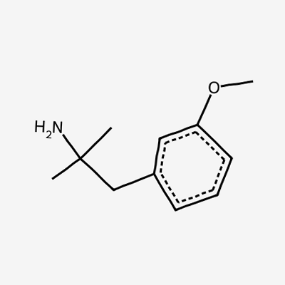 COc1cccc(CC(C)(C)N)c1